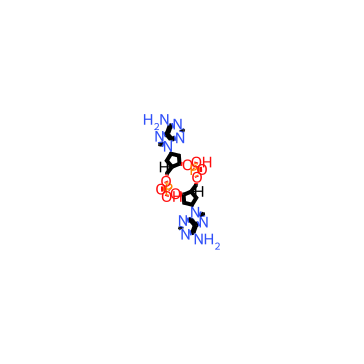 Nc1ncnc2c1ncn2[C@H]1CC2OP(=O)(O)OC[C@H]3C[C@@H](n4cnc5c(N)ncnc54)CC3OP(=O)(O)OC[C@H]2C1